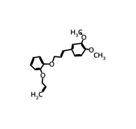 C=CCOc1ccccc1OCC=Cc1ccc(OC)c(OC)c1